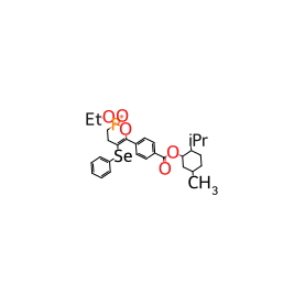 CCOP1(=O)CCC([Se]c2ccccc2)=C(c2ccc(C(=O)OC3CC(C)CCC3C(C)C)cc2)O1